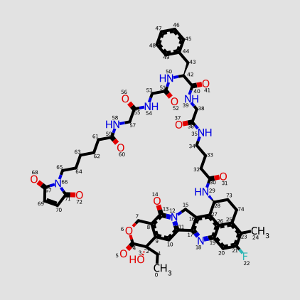 CC[C@@]1(O)C(=O)OCc2c1cc1n(c2=O)Cc2c-1nc1cc(F)c(C)c3c1c2[C@@H](NC(=O)CCCNC(=O)CNC(=O)[C@H](Cc1ccccc1)NC(=O)CNC(=O)CNC(=O)CCCCCN1C(=O)C=CC1=O)CC3